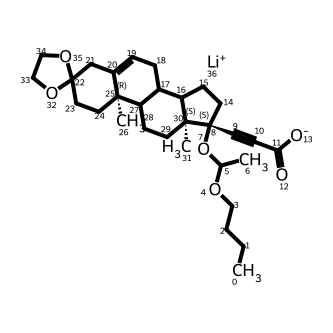 CCCCOC(C)O[C@@]1(C#CC(=O)[O-])CCC2C3CC=C4CC5(CC[C@]4(C)C3CC[C@@]21C)OCCO5.[Li+]